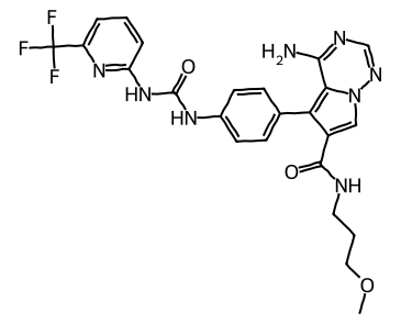 COCCCNC(=O)c1cn2ncnc(N)c2c1-c1ccc(NC(=O)Nc2cccc(C(F)(F)F)n2)cc1